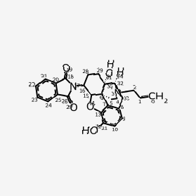 C=CCN1CC[C@]23c4c5ccc(O)c4OC2C(N2C(=O)c4ccccc4C2=O)CC[C@@]3(O)[C@H]1C5